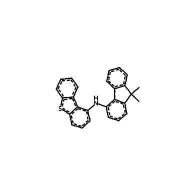 CC1(C)c2ccccc2-c2c(Nc3cccc4sc5ccccc5c34)cccc21